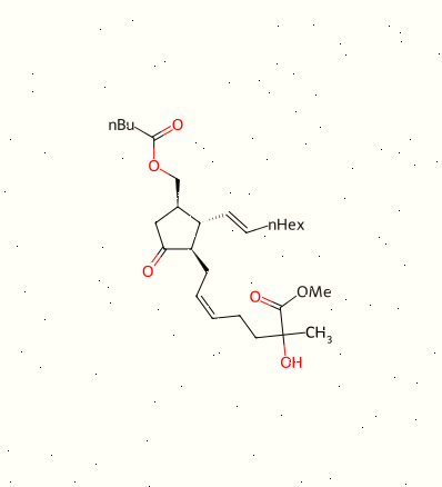 CCCCCC/C=C/[C@H]1[C@H](COC(=O)CCCC)CC(=O)[C@@H]1C/C=C\CCC(C)(O)C(=O)OC